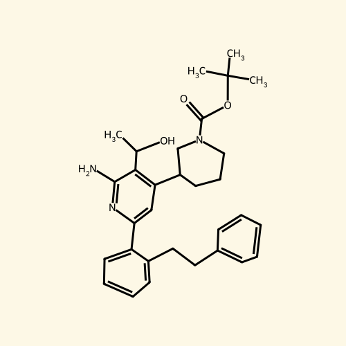 CC(O)c1c(C2CCCN(C(=O)OC(C)(C)C)C2)cc(-c2ccccc2CCc2ccccc2)nc1N